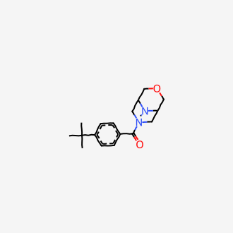 CN1C2COCC1CN(C(=O)c1ccc(C(C)(C)C)cc1)C2